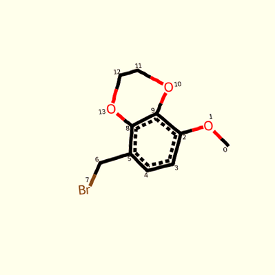 COc1ccc(CBr)c2c1OCCO2